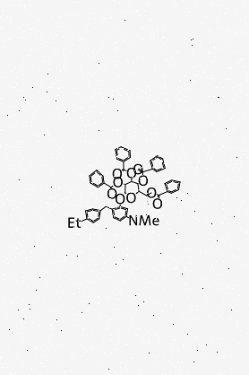 CCc1ccc(Cc2ccc(NC)cc2O[C@@H]2O[C@H]([C@@H](C)OC(=O)c3ccccc3)[C@@H](OC(=O)c3ccccc3)[C@H](OC(=O)c3ccccc3)[C@H]2OC(=O)c2ccccc2)cc1